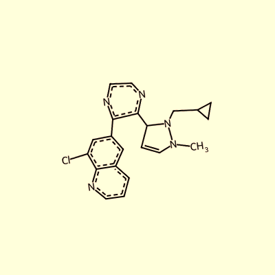 CN1C=CC(c2nccnc2-c2cc(Cl)c3ncccc3c2)N1CC1CC1